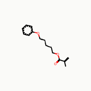 C=C(C)C(=O)OCCCCCOc1ccccc1